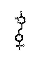 CS(=O)(=O)c1ccc(/C=C/c2ccc(=O)[nH]n2)cc1